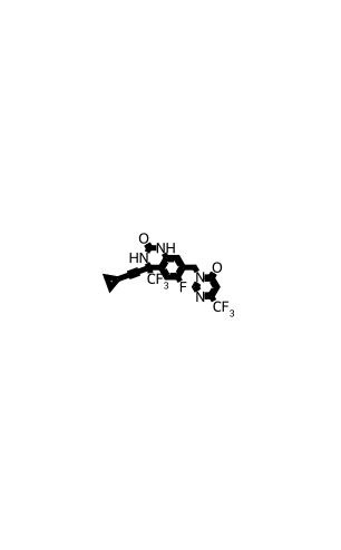 O=C1Nc2cc(Cn3cnc(C(F)(F)F)cc3=O)c(F)cc2C(C#CC2CC2)(C(F)(F)F)N1